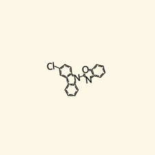 Clc1ccc2c(c1)c1ccccc1n2-c1nc2ccccc2o1